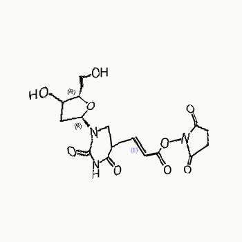 O=C(/C=C/C1CN([C@H]2CC(O)[C@@H](CO)O2)C(=O)NC1=O)ON1C(=O)CCC1=O